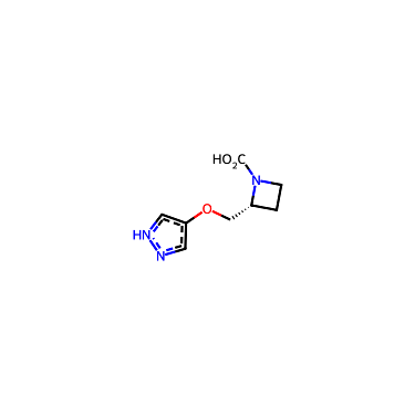 O=C(O)N1CC[C@@H]1COc1cn[nH]c1